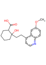 COc1ccc2nccc(CCC3(O)CCCCC3C(=O)O)c2c1